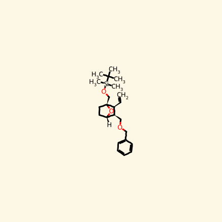 C=C[C@H]1[C@@H](COCc2ccccc2)[C@@H]2CC[C@@]1(CO[Si](C)(C)C(C)(C)C)O2